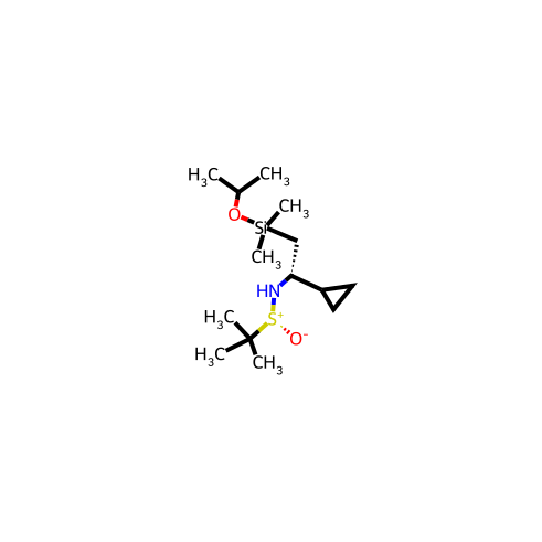 CC(C)O[Si](C)(C)C[C@@H](N[S@+]([O-])C(C)(C)C)C1CC1